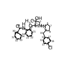 CC(O)(CNN1CCCC1Cc1ccc(Cl)cc1)COc1ccccc1NC(=O)c1ccccc1